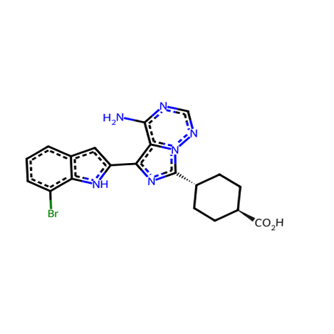 Nc1ncnn2c1c(-c1cc3cccc(Br)c3[nH]1)nc2[C@H]1CC[C@H](C(=O)O)CC1